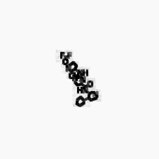 Cc1nc(OC(F)F)ccc1Nc1nccc(C(=O)Nc2cnccc2-c2ccccc2)n1